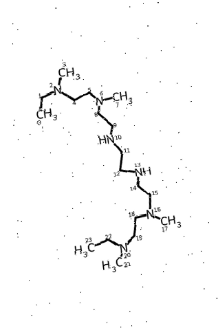 CCN(C)CCN(C)CCNCCNCCN(C)CCN(C)CC